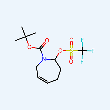 CC(C)(C)OC(=O)N1CC=CCCC1OS(=O)(=O)C(F)(F)F